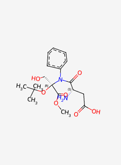 COC(=O)[C@@](CO)(OC(C)(C)C)N(C(=O)[C@@H](N)CC(=O)O)c1ccccc1